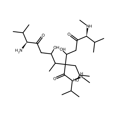 CN[C@H](C(=O)CC(O)C(CC(C)O)([C](C)C(O)CC(=O)[C@@H](N)C(C)C)C(=O)[C@@H](NC)C(C)C)C(C)C